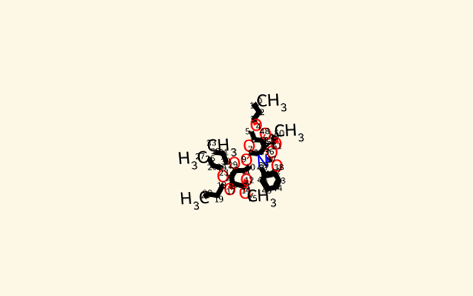 CCCCOCC1O[C@@H](OCC2O[C@H](OC)C(OCCCC)[C@@H](OCCCC)[C@@H]2OCCCC)C2[C@@H](OC(=O)N2Cc2ccccc2)[C@H]1OC(C)=O